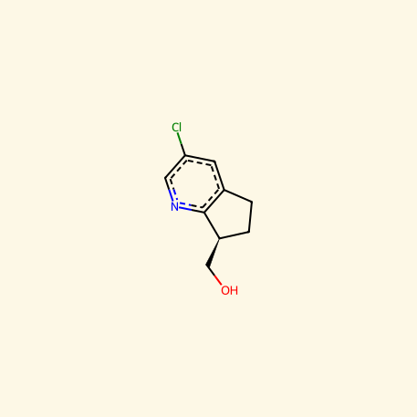 OC[C@@H]1CCc2cc(Cl)cnc21